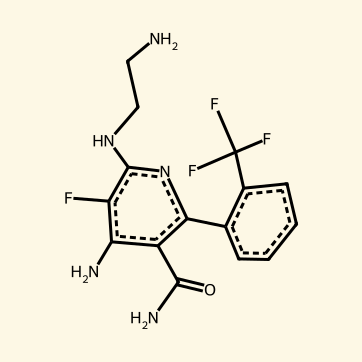 NCCNc1nc(-c2ccccc2C(F)(F)F)c(C(N)=O)c(N)c1F